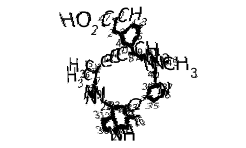 C[C@H](Cc1cccc([C@@]2(C)CCCCC(C)(C)c3cn(nn3)Cc3c(c(F)cc4[nH]ccc34)Oc3ccnc(c3)-c3nc2nn3C)c1)C(=O)O